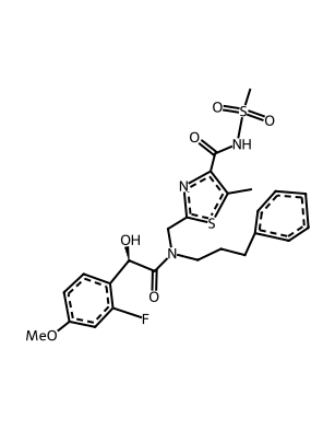 COc1ccc([C@@H](O)C(=O)N(CCCc2ccccc2)Cc2nc(C(=O)NS(C)(=O)=O)c(C)s2)c(F)c1